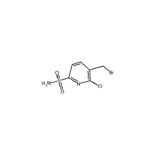 NS(=O)(=O)c1ccc(CBr)c(Cl)n1